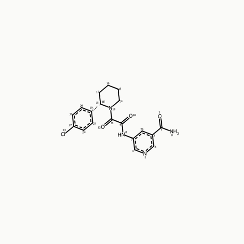 NC(=O)c1cncc(NC(=O)C(=O)N2CCCC[C@H]2c2ccc(Cl)cc2)c1